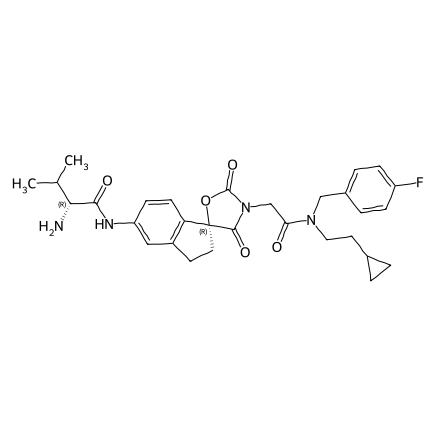 CC(C)[C@@H](N)C(=O)Nc1ccc2c(c1)CC[C@@]21OC(=O)N(CC(=O)N(CCC2CC2)Cc2ccc(F)cc2)C1=O